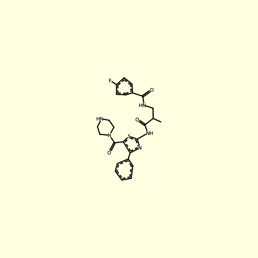 CC(CNC(=O)c1ccc(F)cc1)C(=O)Nc1nc(-c2ccccc2)c(C(=O)N2CCNCC2)s1